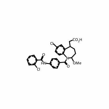 COC1CCC(CC(=O)O)c2cc(Cl)ccc2N1C(=O)c1ccc(NC(=O)c2ccccc2Cl)cc1